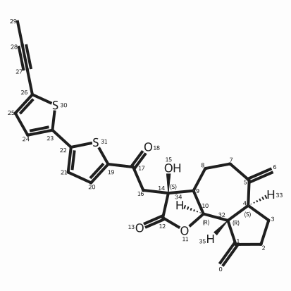 C=C1CC[C@@H]2C(=C)CCC3[C@H](OC(=O)[C@]3(O)CC(=O)c3ccc(-c4ccc(C#CC)s4)s3)[C@@H]12